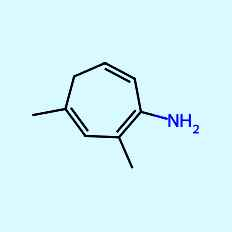 CC1=CC(C)=C(N)C=CC1